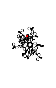 CCCC(=O)O[C@@H]1[C@H](OP(=O)(OCOC(C)=O)OCOC(C)=O)[C@@H](OC(=O)CCC)[C@H](OP(=O)(OCOC(C)=O)OCOC(C)=O)[C@@H](OP(=O)(OCOC(C)=O)OCOC(C)=O)[C@@H]1OP(=O)(OCOC(C)=O)OCOC(C)=O